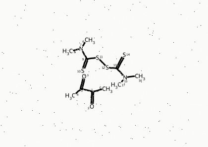 CC(=O)C(C)=O.CN(C)C(=S)SSC(=S)N(C)C